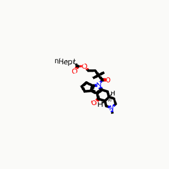 CCCCCCCC(=O)OCCC(C)(C)C(=O)n1c2c(c3c1C[C@H]1CCN(C)C[C@@H]1C3=O)CCC2